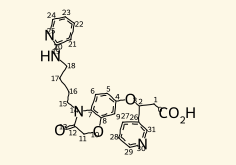 O=C(O)CC(Oc1ccc2c(c1)OCC(=O)N2CCCCNc1ccccn1)c1cccnc1